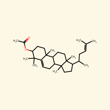 CC(=O)OC1CCC2(C)C(=CCC3C2CCC2(C)C(C(C)CC=C(C)C)CCC32C)C1(C)C